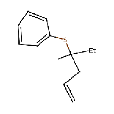 C=CCC(C)(CC)Sc1ccccc1